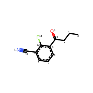 CCCC(=O)c1cccc(C#N)c1F